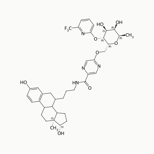 C[C@H]1O[C@H](COc2cnc(C(=O)NCCCC3Cc4cc(O)ccc4C4CC[C@@]5(C)C(CC[C@@H]5O)C34)cn2)[C@H](Oc2cccc(C(F)(F)F)n2)[C@@H](O)[C@H]1O